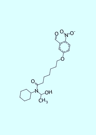 CC(O)N(C(=O)CCCCCCOc1ccc([N+](=O)[O-])c(C=O)c1)C1CCCCC1